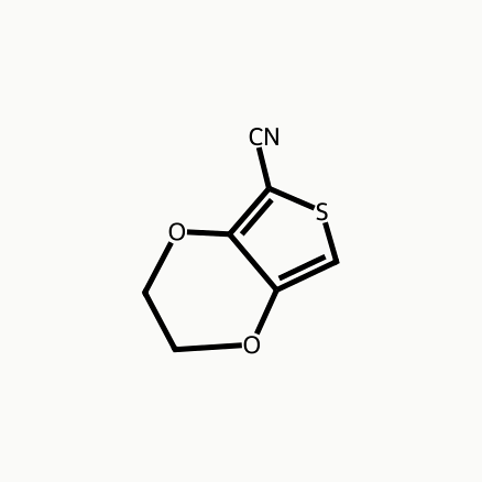 N#Cc1scc2c1OCCO2